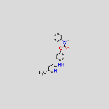 CN(C(=O)Oc1ccc(Nc2ccc(C(F)(F)F)cn2)cc1)c1ccccc1